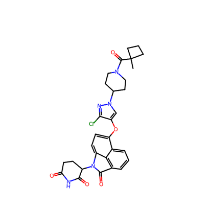 CC1(C(=O)N2CCC(n3cc(Oc4ccc5c6c(cccc46)C(=O)N5C4CCC(=O)NC4=O)c(Cl)n3)CC2)CCC1